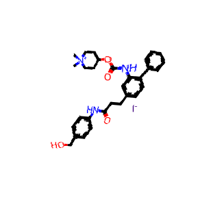 C[N+]1(C)CCC(OC(=O)Nc2cc(CCC(=O)Nc3ccc(CO)cc3)ccc2-c2ccccc2)CC1.[I-]